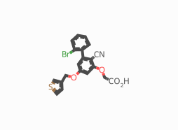 N#Cc1c(OCC(=O)O)cc(OCc2ccsc2)cc1-c1ccccc1Br